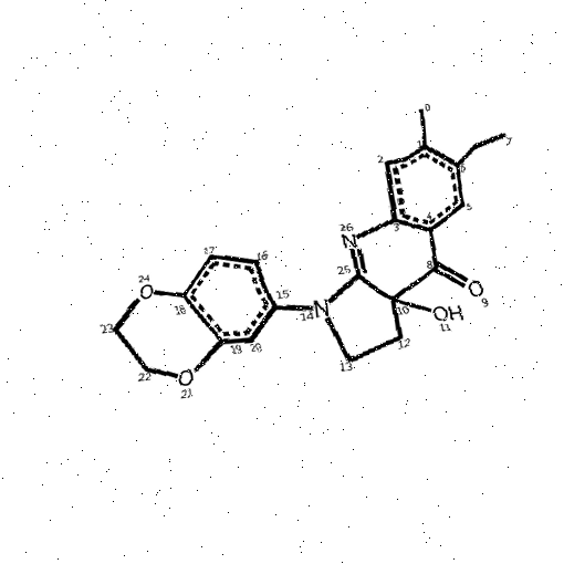 Cc1cc2c(cc1C)C(=O)C1(O)CCN(c3ccc4c(c3)OCCO4)C1=N2